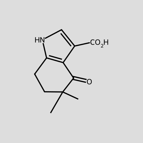 CC1(C)CCc2[nH]cc(C(=O)O)c2C1=O